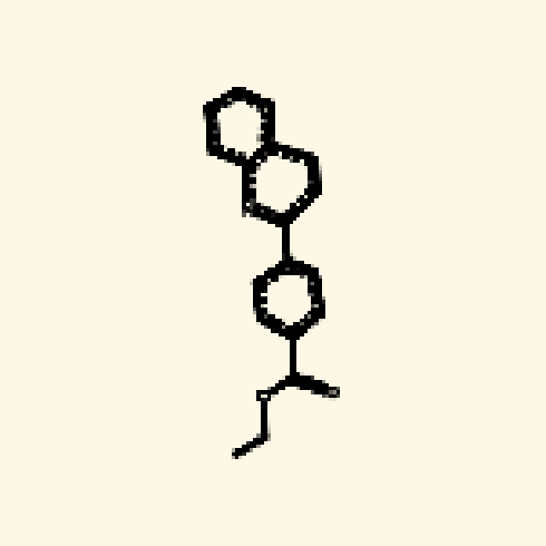 CCOC(=O)c1ccc(-c2ccc3ccccc3n2)cc1